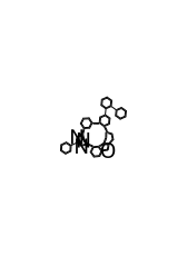 c1ccc(-c2nc3nc(n2)c2cccc4oc5ccc(cc5c42)c2ccc(-c4ccccc4-c4ccccc4)cc2c2cccc3c2)cc1